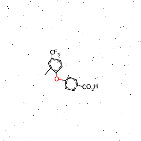 Cc1cc(C(F)(F)F)ccc1Oc1ccc(C(=O)O)cc1